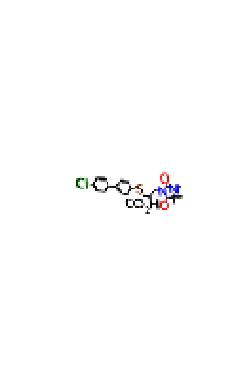 CN1C(=O)N(CC(CSc2ccc(-c3ccc(Cl)cc3)cc2)C(=O)O)C(=O)C1(C)C